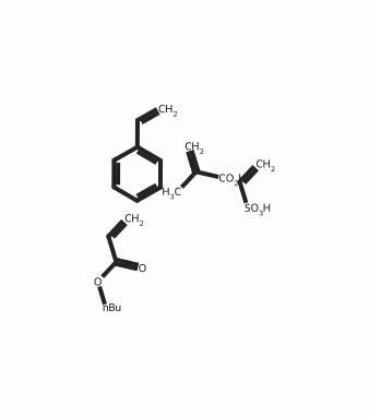 C=C(C)C(=O)O.C=CC(=O)OCCCC.C=CS(=O)(=O)O.C=Cc1ccccc1